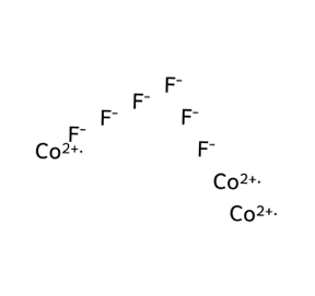 [Co+2].[Co+2].[Co+2].[F-].[F-].[F-].[F-].[F-].[F-]